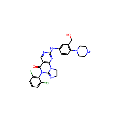 O=C1c2cnc(Nc3ccc(N4CCNCC4)c(CO)c3)nc2N2CCN=C2N1c1c(F)cccc1Cl